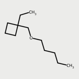 CCCCCOCC1(CC)CCC1